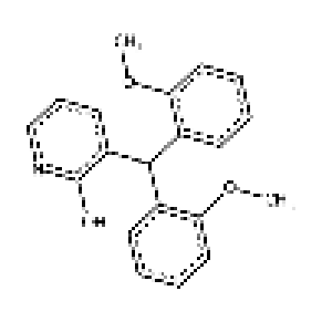 COc1ccccc1C(c1ccccc1OC)c1cccnc1O